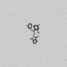 O=C1c2ccccc2C(=O)N1CCC(Oc1cccc(I)c1)c1ccc(F)cc1Br